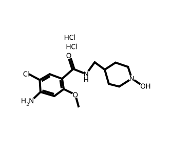 COc1cc(N)c(Cl)cc1C(=O)NCC1CCN(O)CC1.Cl.Cl